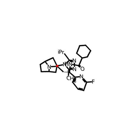 Cc1nnc(C(C)C)n1C1CC2CCC(C1)N2CC[C@H](NC(=O)C1CCCCC1)c1cccc(F)n1